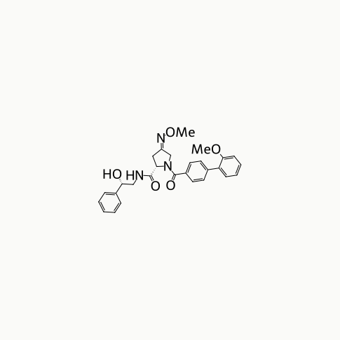 CON=C1C[C@@H](C(=O)NC[C@@H](O)c2ccccc2)N(C(=O)c2ccc(-c3ccccc3OC)cc2)C1